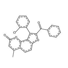 Cc1cc(=O)oc2c1ccc1oc(C(=O)c3ccccc3)c(-c3ccccc3Cl)c12